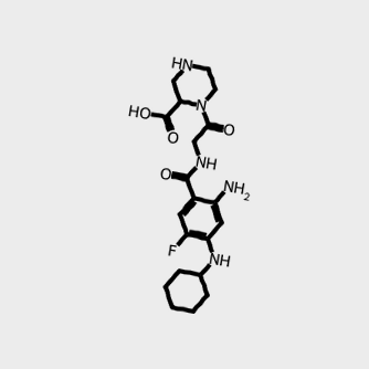 Nc1cc(NC2CCCCC2)c(F)cc1C(=O)NCC(=O)N1CCNCC1C(=O)O